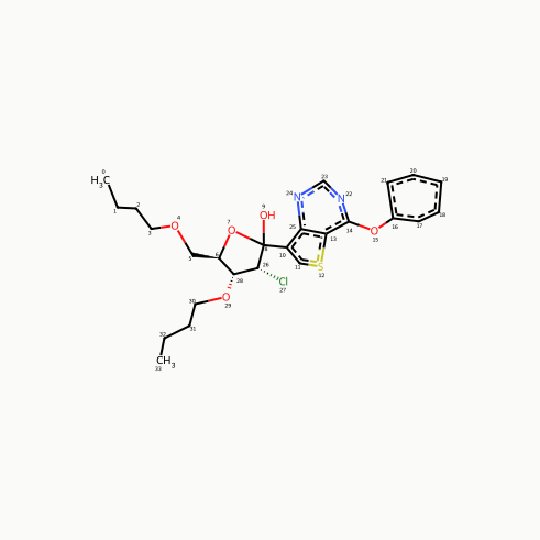 CCCCOC[C@H]1OC(O)(c2csc3c(Oc4ccccc4)ncnc23)[C@H](Cl)[C@@H]1OCCCC